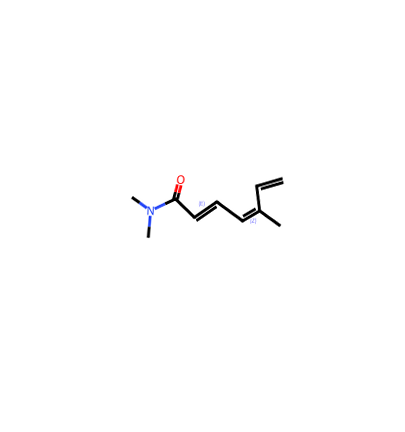 C=C/C(C)=C\C=C\C(=O)N(C)C